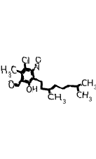 Cc1c(Cl)c(N=O)c(CCC(C)CCCC(C)C)c(O)c1C=O